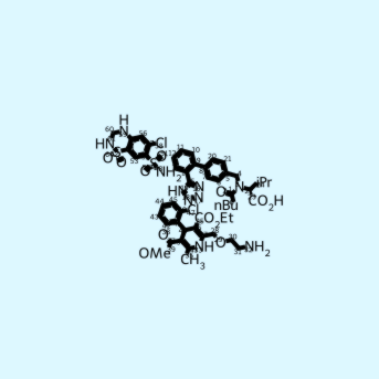 CCCCC(=O)N(Cc1ccc(-c2ccccc2-c2nnn[nH]2)cc1)[C@H](C(=O)O)C(C)C.CCOC(=O)C1=C(COCCN)NC(C)=C(C(=O)OC)C1c1ccccc1Cl.NS(=O)(=O)c1cc2c(cc1Cl)NCNS2(=O)=O